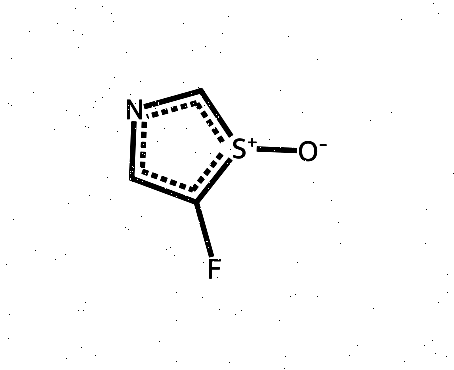 [O-][s+]1cncc1F